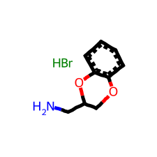 Br.NCC1COc2ccccc2O1